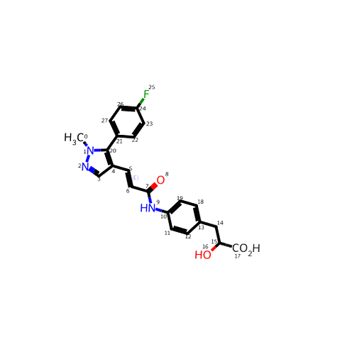 Cn1ncc(/C=C/C(=O)Nc2ccc(CC(O)C(=O)O)cc2)c1-c1ccc(F)cc1